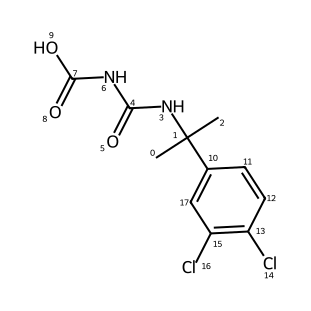 CC(C)(NC(=O)NC(=O)O)c1ccc(Cl)c(Cl)c1